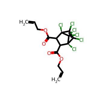 C=CCOC(=O)C1C(C(=O)OCC=C)[C@@]2(Cl)C(Cl)=C(Cl)[C@]1(Cl)C2(Cl)Cl